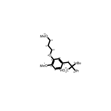 CCCCC(Cc1ccc(OC)c(OCCCOC)c1)(C(=O)O)C(C)C